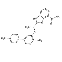 Cc1ccc(-c2cnc(N)c(OC(C)c3nc4c(C(N)=O)cccc4[nH]3)c2)cc1